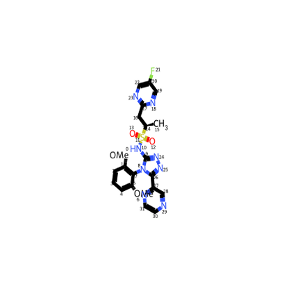 COc1cccc(OC)c1-n1c(NS(=O)(=O)[C@H](C)Cc2ncc(F)cn2)nnc1-c1cnccn1